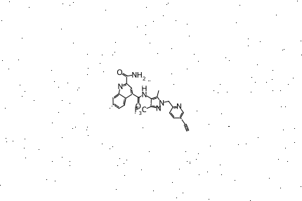 C#Cc1ccc(Cn2nc(C(F)(F)F)c(NC(=O)c3cc(C(N)=O)nc4ccccc34)c2C)nc1